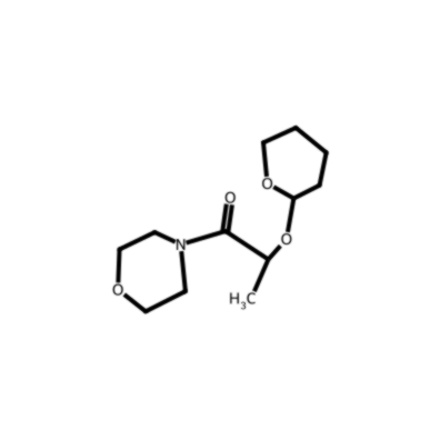 CC(OC1CCCCO1)C(=O)N1CCOCC1